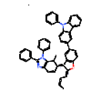 C\C=C/C=c1/oc2ccc(-c3ccc4c(c3)c3ccccc3n4-c3ccccc3)cc2/c1=C1/C=Cc2nc(-c3ccccc3)n(-c3ccccc3)c2C1C